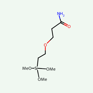 CO[Si](CCOCCC(N)=O)(OC)OC